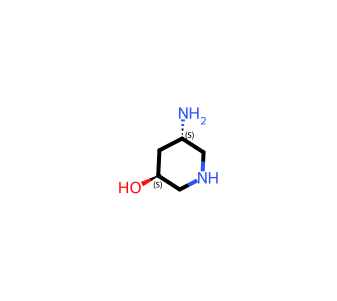 N[C@@H]1CNC[C@@H](O)C1